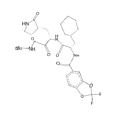 CC(C)(C)NC(=O)C(=O)[C@H](C[C@@H]1CCNC1=O)NC(=O)[C@H](CC1CCCCC1)NC(=O)c1ccc2c(c1)OC(F)(F)O2